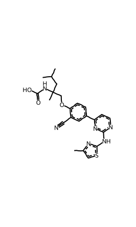 Cc1csc(Nc2nccc(-c3ccc(OCC(C)(CC(C)C)NC(=O)O)c(C#N)c3)n2)n1